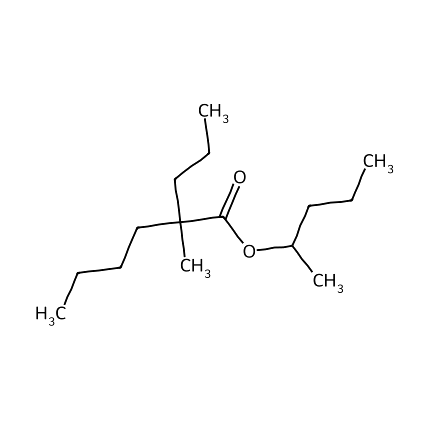 CCCCC(C)(CCC)C(=O)OC(C)CCC